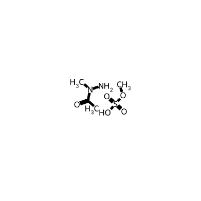 CC(=O)N(C)N.COS(=O)(=O)O